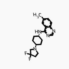 Cc1ccc2ncnc(N[C@H]3CC[C@H](N4CCC(F)(F)C4)CC3)c2c1